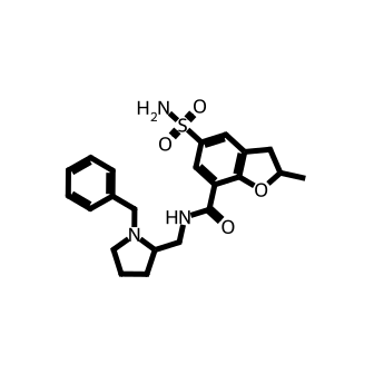 CC1Cc2cc(S(N)(=O)=O)cc(C(=O)NCC3CCCN3Cc3ccccc3)c2O1